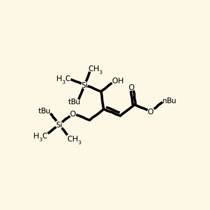 CCCCOC(=O)C=C(CO[Si](C)(C)C(C)(C)C)C(O)[Si](C)(C)C(C)(C)C